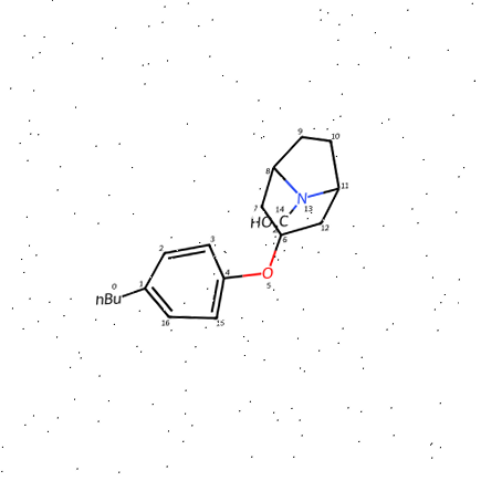 CCCCc1ccc(OC2CC3CCC(C2)N3C(=O)O)cc1